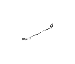 CC(C)(C)CCOCCCCCCCCCCCCCCCCn1ccnc1